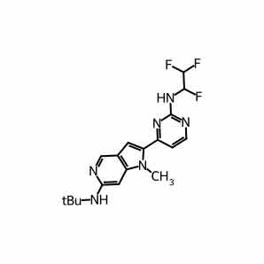 Cn1c(-c2ccnc(NC(F)C(F)F)n2)cc2cnc(NC(C)(C)C)cc21